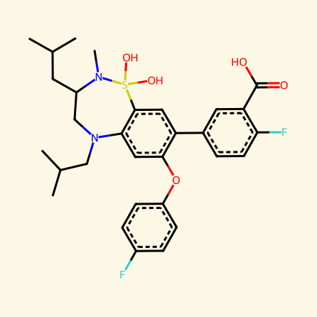 CC(C)CC1CN(CC(C)C)c2cc(Oc3ccc(F)cc3)c(-c3ccc(F)c(C(=O)O)c3)cc2S(O)(O)N1C